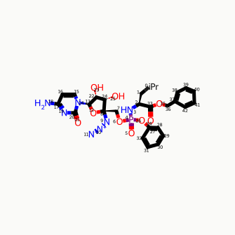 CC(C)C[C@H](NP(=O)(OC[C@@]1(N=[N+]=[N-])O[C@@H](n2ccc(N)nc2=O)[C@H](O)[C@@H]1O)Oc1ccccc1)C(=O)OCc1ccccc1